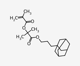 C=C(C)C(=O)OC(C)(C)C(=O)OCCCC12CC3CC(CC(C3)C1)C2